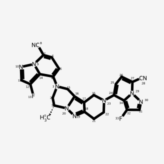 C[C@@H]1CN(c2ccc(C#N)n3ncc(F)c23)Cc2c3c(nn21)CCN(c1ccc(C#N)n2ncc(F)c12)C3